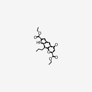 CCCc1c2[nH]c(C(=O)OCC)cc2cc2c(=O)cc(C(=O)OCC)oc12